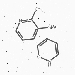 C1=CNOC=C1.CSc1cccnc1C